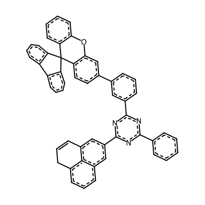 C1=Cc2cc(-c3nc(-c4ccccc4)nc(-c4cccc(-c5ccc6c(c5)Oc5ccccc5C65c6ccccc6-c6ccccc65)c4)n3)cc3cccc(c23)C1